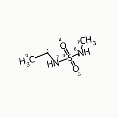 CCNS(=O)(=O)NC